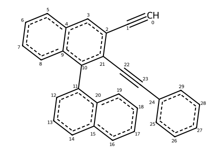 C#Cc1cc2ccccc2c(-c2cccc3ccccc23)c1C#Cc1ccccc1